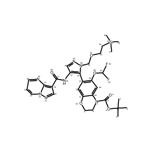 CC(C)(C)OC(=O)N1CCOc2cc(-c3c(NC(=O)c4cnn5cccnc45)cnn3COCC[Si](C)(C)C)c(OC(F)F)cc21